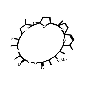 CCC12CCC(O1)C1(C)CCC3(C=CC(C)C(O3)C(C)C(OC)C(C)C(=O)OCC(=O)C(C)CC(C)C(F)C3CC(C)C2O3)O1